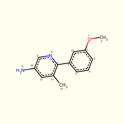 COc1cccc(-c2ncc(N)cc2C)c1